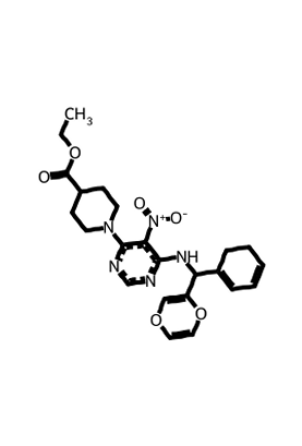 CCOC(=O)C1CCN(c2ncnc(NC(C3=CC=CCC3)C3=COC=CO3)c2[N+](=O)[O-])CC1